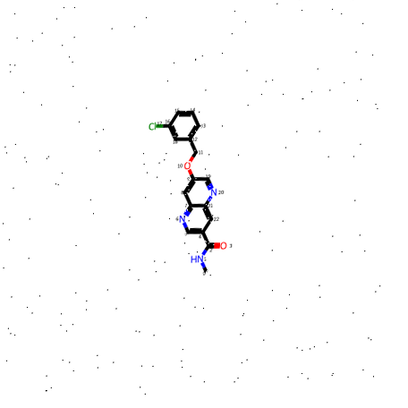 CNC(=O)c1cnc2cc(OCc3cccc(Cl)c3)cnc2c1